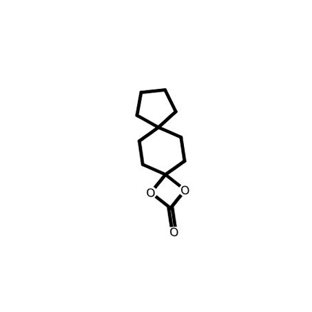 O=C1OC2(CCC3(CCCC3)CC2)O1